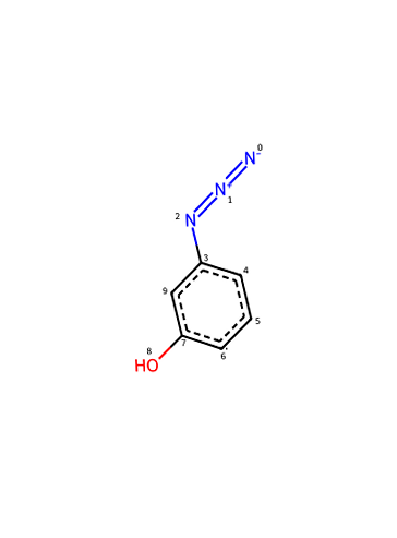 [N-]=[N+]=Nc1cc[c]c(O)c1